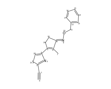 C#Cc1nc(C2=C(C)/C(=N/OCc3ccccc3)CC2)cs1